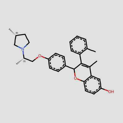 CC1=C(c2ccccc2C)C(c2ccc(OC[C@H](C)N3CC[C@@H](C)C3)cc2)Oc2ccc(O)cc21